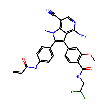 C=CC(=O)Nc1ccc(-c2c(-c3ccc(C(=O)NCC(F)F)c(OC)c3)c3c(N)ncc(C#N)c3n2C)cc1